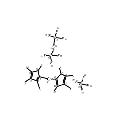 CC1=C(C)C(C)[C]([Cr+3][C]2=C(C)C(C)=C(C)C2C)=C1C.F[B-](F)(F)F.F[B-](F)(F)F.F[B-](F)(F)F